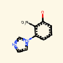 [O]c1cccc(-n2ccnc2)c1[N+](=O)[O-]